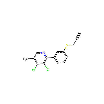 C#CCSc1cccc(-c2ncc(C(F)(F)F)c(Cl)c2Cl)c1